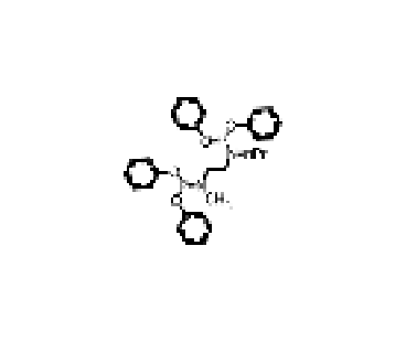 CCCN(CCN(C)P(Oc1ccccc1)Oc1ccccc1)P(Oc1ccccc1)Oc1ccccc1